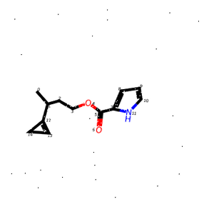 CC(CCOC(=O)c1ccc[nH]1)C1=CC1